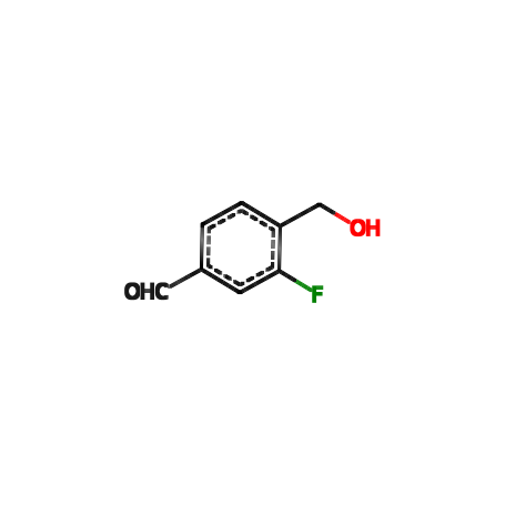 O=Cc1ccc(CO)c(F)c1